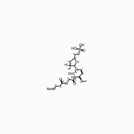 C/N=C(\C=C/N(C=O)[C@@H]1OC(COP(=O)(O)O)C[C@@]1(C)F)NC(=O)COC(=O)CCNC